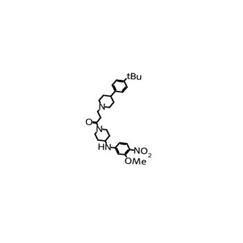 COc1cc(NC2CCN(C(=O)CCN3CCC(c4ccc(C(C)(C)C)cc4)CC3)CC2)ccc1[N+](=O)[O-]